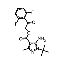 Cc1nn(C(C)(C)C)c(N)c1C(=O)OCC(=O)c1c(F)cccc1F